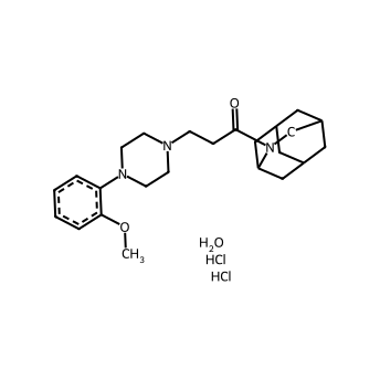 COc1ccccc1N1CCN(CCC(=O)N2CC3CC4CC(C3)CC2C4)CC1.Cl.Cl.O